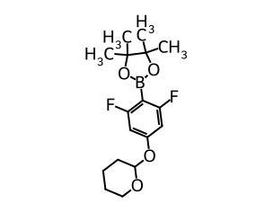 CC1(C)OB(c2c(F)cc(OC3CCCCO3)cc2F)OC1(C)C